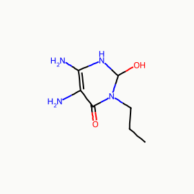 CCCN1C(=O)C(N)=C(N)NC1O